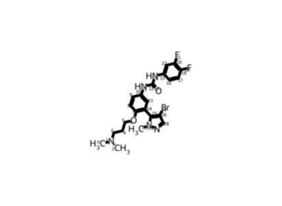 CN(C)CCCOc1ccc(NC(=O)Nc2ccc(F)c(F)c2)cc1-c1c(Br)cnn1C